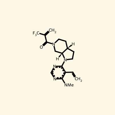 C=Cc1c(NC)ncnc1N1CC[C@H]2CCN(C(=O)C(=C)C(F)(F)F)C[C@H]21